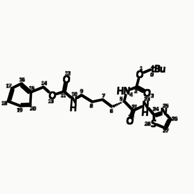 CC(C)(C)OC(=O)N[C@@H](CCCCNC(=O)OCc1ccccc1)C(=O)Nc1nccs1